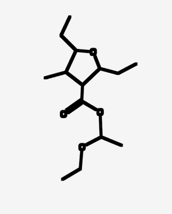 CCOC(C)OC(=O)C1C(CC)OC(CC)C1C